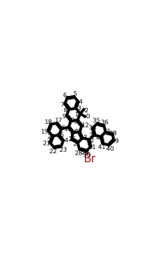 CC1(C)c2ccccc2C=c2c1cc1c(c2-c2cccc3ccccc23)C=c2cc(Br)cc(-c3cccc4ccccc34)c2=1